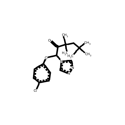 CC(C)(C)CC(C)(C)C(=O)C(Oc1ccc(Cl)cc1)n1cnnc1